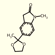 CN1C(=O)Cc2cc(C3(C)OCCO3)ccc21